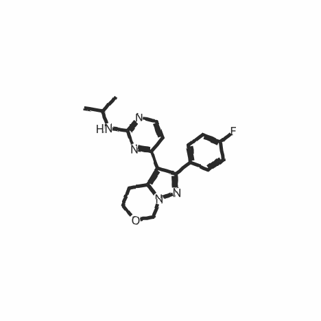 CC(C)Nc1nccc(-c2c(-c3ccc(F)cc3)nn3c2CCOC3)n1